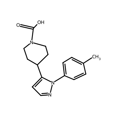 Cc1ccc(-n2nccc2C2CCN(C(=O)O)CC2)cc1